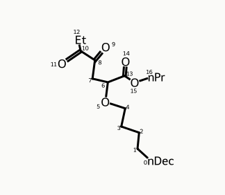 CCCCCCCCCCCCCCOC(CC(=O)C(=O)CC)C(=O)OCCC